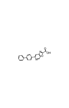 O=C(O)c1nc2cc(-c3ccc(-c4ccccc4)cc3)ncc2o1